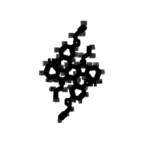 C#CCOc1ccc(O)c(-c2c3c4ccccc4n(CC=C)c3c(-c3cc(OCC#C)ccc3O)c3c4ccccc4n(CC=C)c23)c1